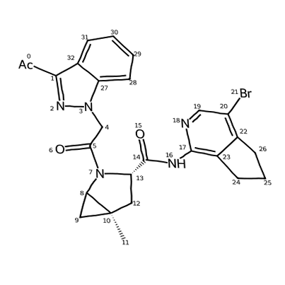 CC(=O)c1nn(CC(=O)N2C3C[C@]3(C)C[C@H]2C(=O)Nc2ncc(Br)c3c2CCC3)c2ccccc12